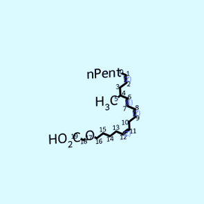 CCCCC/C=C\CC(C)/C=C/C=C\C/C=C\CCCCOCC(=O)O